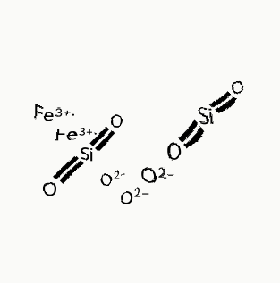 O=[Si]=O.O=[Si]=O.[Fe+3].[Fe+3].[O-2].[O-2].[O-2]